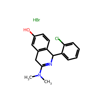 Br.CN(C)C1=NC(c2ccccc2Cl)c2ccc(O)cc2C1